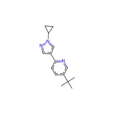 CC(C)(C)c1ccc(-c2cnn(C3CC3)c2)nc1